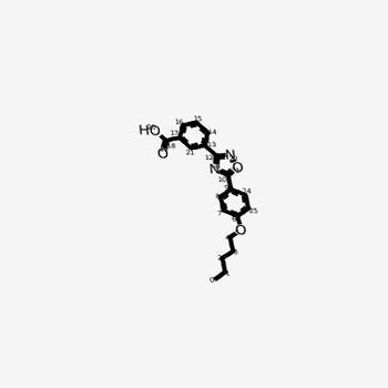 CCCCCOc1ccc(-c2nc(-c3cccc(C(=O)O)c3)no2)cc1